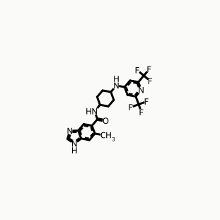 Cc1cc2[nH]cnc2cc1C(=O)NC1CCC(Nc2cc(C(F)(F)F)nc(C(F)(F)F)c2)CC1